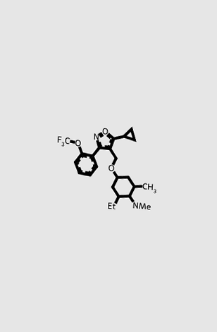 CCC1CC(OCc2c(-c3ccccc3OC(F)(F)F)noc2C2CC2)CC(C)C1NC